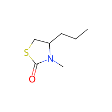 CCCC1CSC(=O)N1C